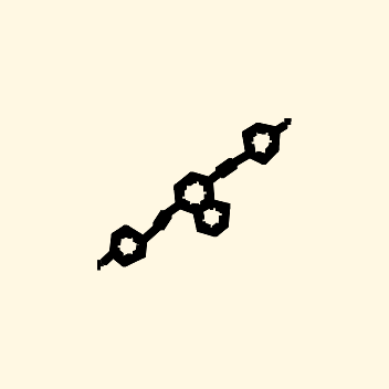 Fc1ccc(C#Cc2ccc(C#Cc3ccc(F)cc3)c3ccccc23)cc1